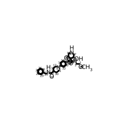 COCCN(O)C(=O)C1(S(=O)(=O)c2ccc(N3CCC(C(=O)NCc4ccccc4)CC3)cc2)CCNCC1